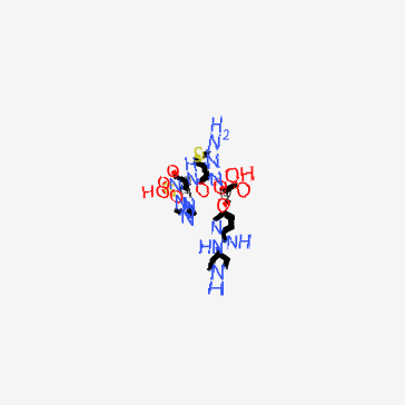 N=C(NC1CCNCC1)c1ccc(OC[C@H](ON=C(C(=O)N[C@@H]2C(=O)N(S(=O)(=O)O)[C@H]2Cn2cncn2)c2csc(N)n2)C(=O)O)cn1